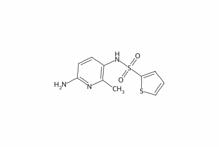 Cc1nc(N)ccc1NS(=O)(=O)c1cccs1